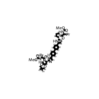 COC(=O)NC(C(=O)N1CCC[C@H]1c1ncc(-c2ccc(-c3ccc(-c4cnc([C@@H]5CC6(CN5C(=O)[C@@H](NC(=O)OC)C(C)C)OCC(C)(C)CO6)[nH]4)cc3)cc2)[nH]1)C(C)C